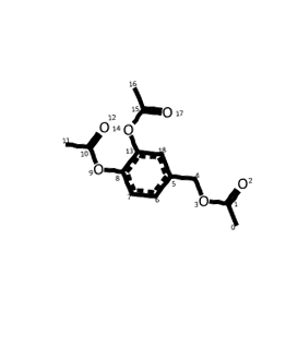 CC(=O)OCc1ccc(OC(C)=O)c(OC(C)=O)c1